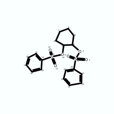 O=S(=O)(OC1CCCCC1OS(=O)(=O)c1ccccc1)c1ccccc1